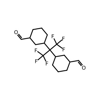 O=CC1CCCC(C(C2CCCC(C=O)C2)(C(F)(F)F)C(F)(F)F)C1